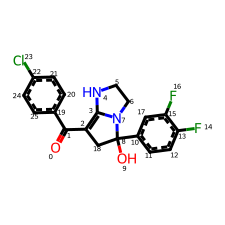 O=C(C1=C2NCCN2C(O)(c2ccc(F)c(F)c2)C1)c1ccc(Cl)cc1